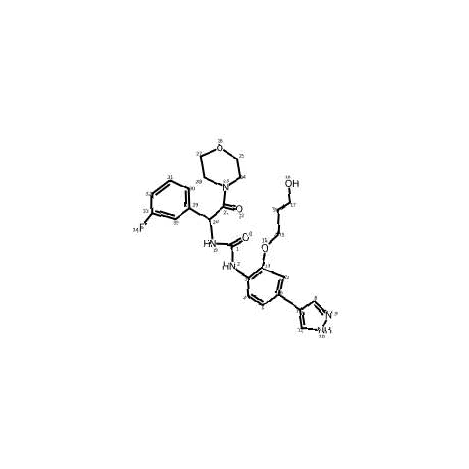 O=C(Nc1ccc(-c2cn[nH]c2)cc1OCCCO)NC(C(=O)N1CCOCC1)c1cccc(F)c1